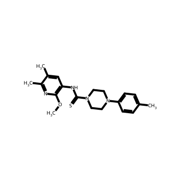 COc1nc(C)c(C)cc1NC(=S)N1CCN(c2ccc(C)cc2)CC1